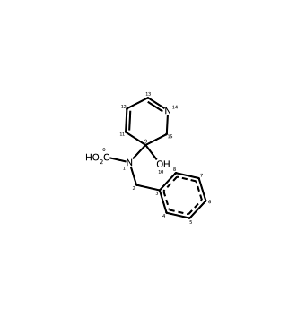 O=C(O)N(Cc1ccccc1)C1(O)C=CC=NC1